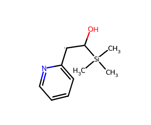 C[Si](C)(C)C(O)[CH]c1ccccn1